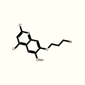 COc1cc2c(Cl)cc(Cl)nc2cc1OCCCBr